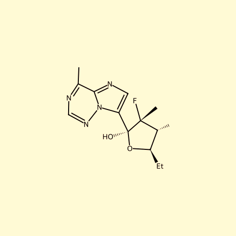 CC[C@H]1O[C@@](O)(c2cnc3c(C)ncnn23)[C@](C)(F)[C@@H]1C